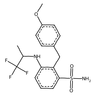 COc1ccc(Cc2c(NC(C)C(F)(F)F)cccc2S(N)(=O)=O)cc1